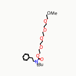 COCCOCCOCCOCCOCCOC(=O)N(CCc1ccccc1)C(C)(C)C